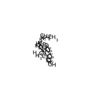 CCCCN(C)CCOc1ccc(C(C)N(CC)c2cc(OC)ccc2[C@@H]2CCc3cc(O)ccc3C2)cc1F